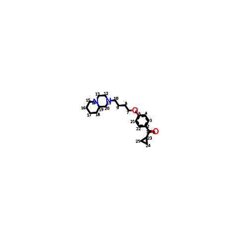 O=C(c1ccc(OCCCCN2CCN3CCCCC3C2)cc1)C1CC1